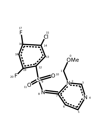 COCn1cnccc1=NS(=O)(=O)c1cc(Cl)c(F)cc1F